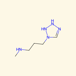 CNCCCN1C=NNN1